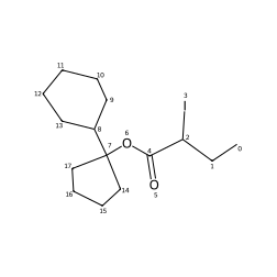 CCC(I)C(=O)OC1(C2CCCCC2)CCCC1